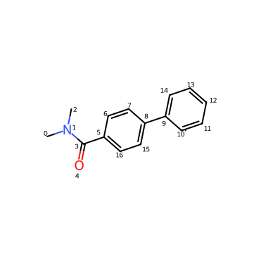 CN(C)C(=O)c1ccc(-c2[c]cccc2)cc1